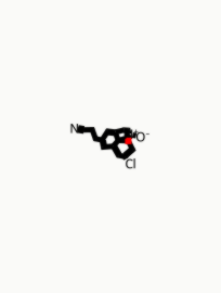 N#CCCC1=CC2=CC(Cl)=CCC23C=[N+]([O-])C=CC3=C1